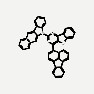 c1ccc2c(c1)-c1cccc3c(-c4nc(-n5c6ccccc6c6cc7ccccc7cc65)nc5c4sc4ccccc45)ccc-2c13